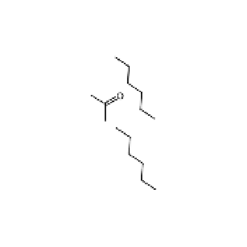 CC(C)=O.CCCCCC.CCCCCC